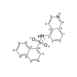 O=S(=O)(Nc1cccc2cnccc12)c1cccc2ccccc12